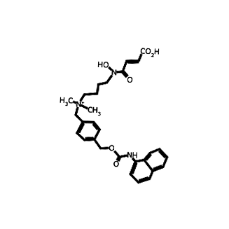 C[N+](C)(CCCCN(O)C(=O)/C=C/C(=O)O)Cc1ccc(COC(=O)Nc2cccc3ccccc23)cc1